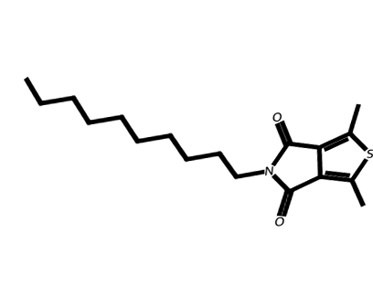 CCCCCCCCCCN1C(=O)c2c(C)sc(C)c2C1=O